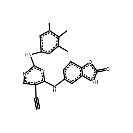 C#Cc1cnc(Nc2cc(C)c(C)c(C)c2)nc1Nc1ccc2oc(=O)[nH]c2c1